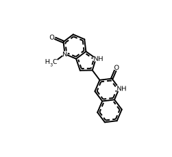 Cn1c(=O)ccc2[nH]c(-c3cc4ccccc4[nH]c3=O)cc21